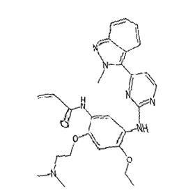 C=CC(=O)Nc1cc(Nc2nccc(-c3c4ccccc4nn3C)n2)c(OCC)cc1OCCN(C)C